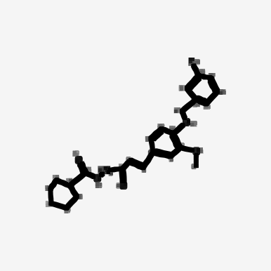 COc1cc(C=CC(=O)NOC(=O)C2CCCCC2)ccc1OCc1cccc(F)c1